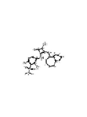 CN(C)S(=O)(=O)c1c(Cl)ccc(NC2=C(NC3CCCCc4ccccc43)C(O)C2=O)c1O